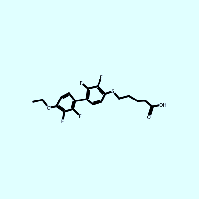 CCOc1ccc(-c2ccc(SCCCCC(=O)O)c(F)c2F)c(F)c1F